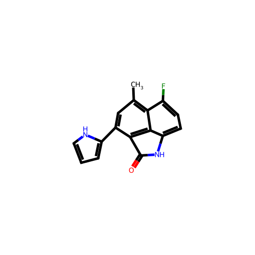 Cc1cc(-c2ccc[nH]2)c2c3c(ccc(F)c13)NC2=O